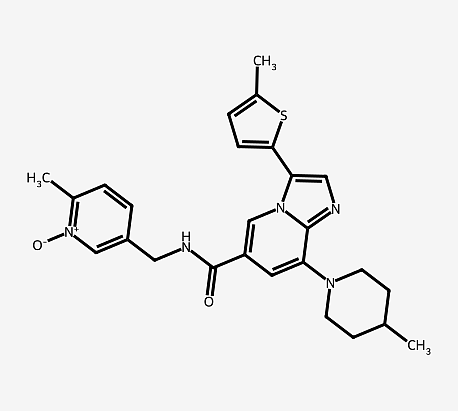 Cc1ccc(-c2cnc3c(N4CCC(C)CC4)cc(C(=O)NCc4ccc(C)[n+]([O-])c4)cn23)s1